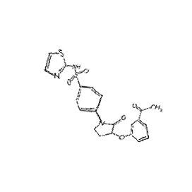 CC(=O)c1cccc(OC2CCN(c3ccc(S(=O)(=O)Nc4nccs4)cc3)C2=O)c1